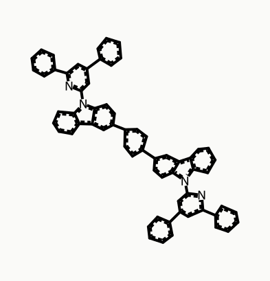 c1ccc(-c2cc(-c3ccccc3)nc(-n3c4ccccc4c4cc(-c5ccc(-c6ccc7c(c6)c6ccccc6n7-c6cc(-c7ccccc7)cc(-c7ccccc7)n6)cc5)ccc43)c2)cc1